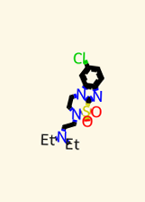 CCN(CC)CCN1CCn2c(nc3ccc(Cl)cc32)S1(=O)=O